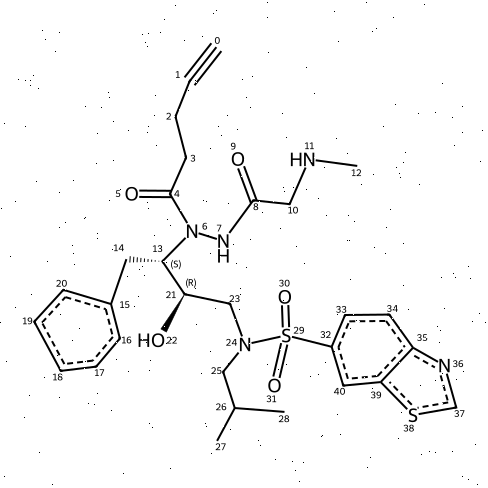 C#CCCC(=O)N(NC(=O)CNC)[C@@H](Cc1ccccc1)[C@H](O)CN(CC(C)C)S(=O)(=O)c1ccc2ncsc2c1